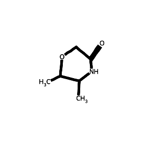 C[C]1OCC(=O)NC1C